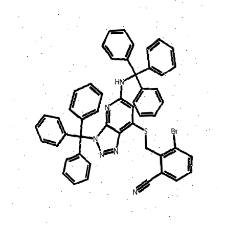 N#Cc1cccc(Br)c1CSc1cc(NC(c2ccccc2)(c2ccccc2)c2ccccc2)nc2c1nnn2C(c1ccccc1)(c1ccccc1)c1ccccc1